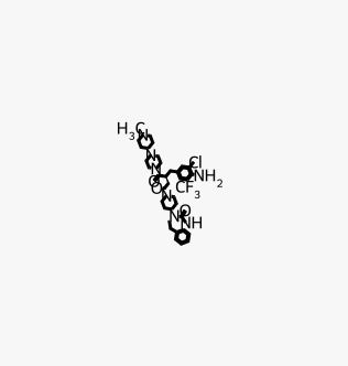 CN1CCC(N2CCN(C(=O)[C@H](CC(=O)N3CCC(N4CCc5ccccc5NC4=O)CC3)Cc3cc(Cl)c(N)c(C(F)(F)F)c3)CC2)CC1